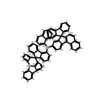 c1ccc2c(c1)-c1ccccc1C21c2cc(N(c3cccc4c3-c3ccccc3C43c4ccccc4-n4c5ccccc5c5cccc3c54)c3cccc4ccccc34)ccc2-c2c1ccc1ccccc21